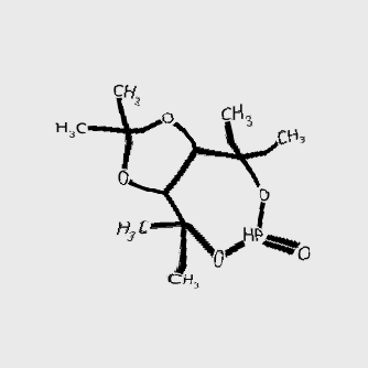 CC1(C)OC2C(O1)C(C)(C)O[PH](=O)OC2(C)C